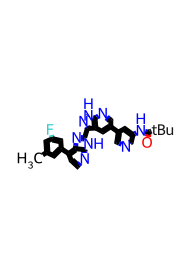 Cc1cc(F)cc(-c2ccnc3[nH]c(-c4n[nH]c5ncc(-c6cncc(NC(=O)C(C)(C)C)c6)cc45)nc23)c1